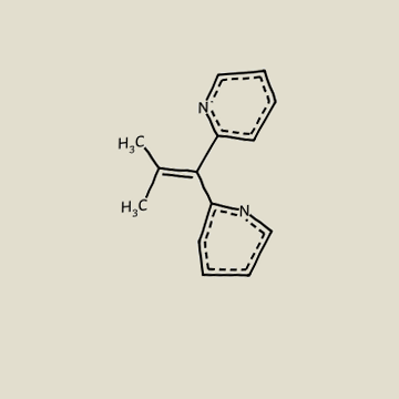 CC(C)=C(c1ccccn1)c1ccccn1